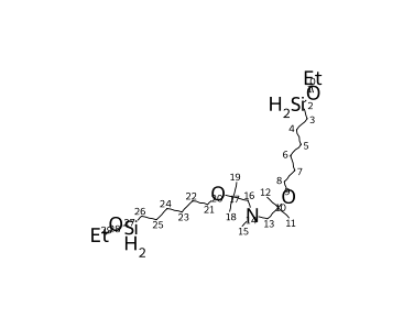 CCO[SiH2]CCCCCCOC(C)(C)CN(C)CC(C)(C)OCCCCCC[SiH2]OCC